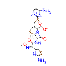 CO/N=C(\C(=O)NC1C(=O)N2C(C(=O)[O-])=C(CSc3nc(N)cc[n+]3C)CS[C@H]12)c1csc(N)n1